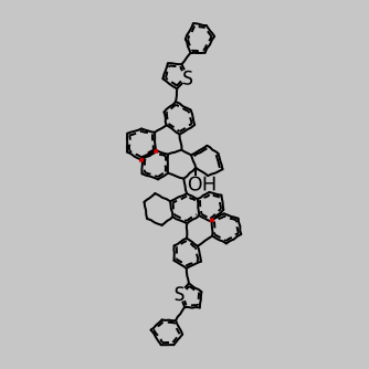 OC12CC=CC=C1C(c1ccc(-c3ccc(-c4ccccc4)s3)cc1-c1ccccc1)c1ccccc1C2c1c2c(c(-c3ccc(-c4ccc(-c5ccccc5)s4)cc3-c3ccccc3)c3ccccc13)CCCC2